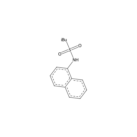 CCC(C)S(=O)(=O)Nc1cccc2ccccc12